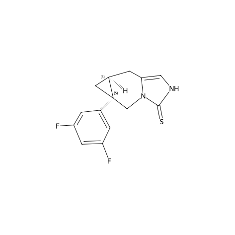 Fc1cc(F)cc([C@]23C[C@H]2Cc2c[nH]c(=S)n2C3)c1